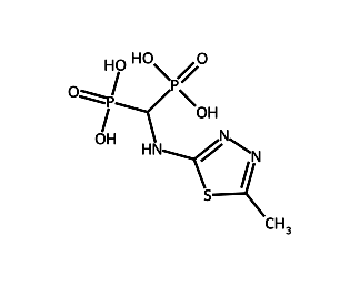 Cc1nnc(NC(P(=O)(O)O)P(=O)(O)O)s1